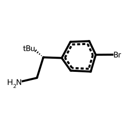 CC(C)(C)[C@@H](CN)c1ccc(Br)cc1